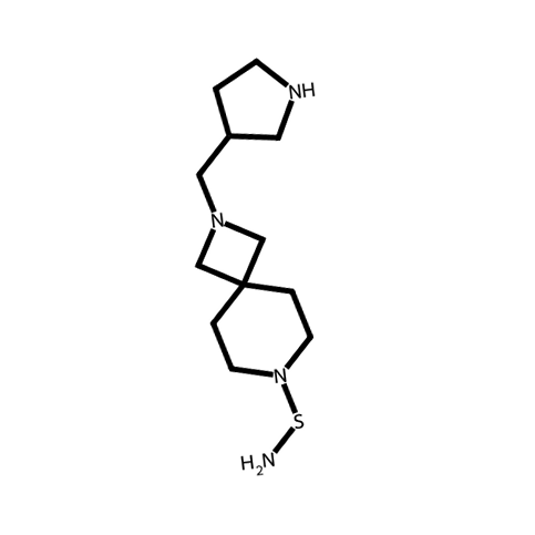 NSN1CCC2(CC1)CN(CC1CCNC1)C2